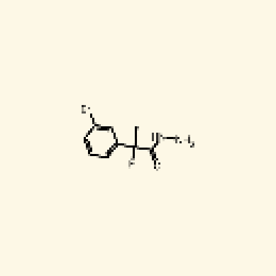 NNC(=O)C(F)(F)c1cccc(Br)c1